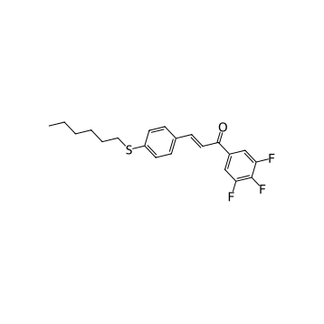 CCCCCCSc1ccc(C=CC(=O)c2cc(F)c(F)c(F)c2)cc1